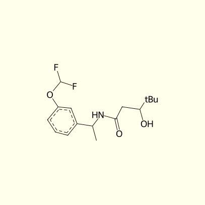 CC(NC(=O)CC(O)C(C)(C)C)c1cccc(OC(F)F)c1